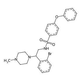 CN1CCN(C(CNS(=O)(=O)c2ccc(Oc3ccccc3)cc2)c2ccccc2Br)CC1